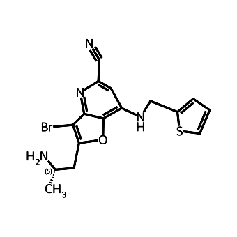 C[C@H](N)Cc1oc2c(NCc3cccs3)cc(C#N)nc2c1Br